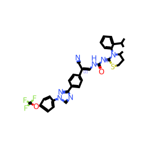 CC(C)c1ccccc1N1/C(=N/C(=O)N/C=C(\C#N)c2ccc(-c3ncn(-c4ccc(OC(F)(F)F)cc4)n3)cc2)SCCC1C